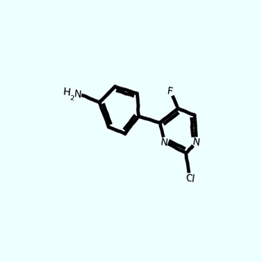 Nc1ccc(-c2nc(Cl)ncc2F)cc1